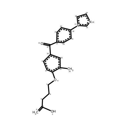 C=C(O)CCCOc1ccc(C(=O)c2ccc(-n3ccnc3)cc2)cc1C